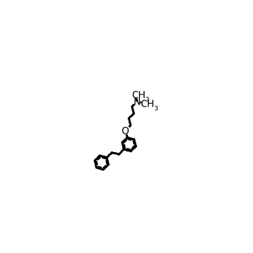 CN(C)CCCCOc1cccc(CCc2ccccc2)c1